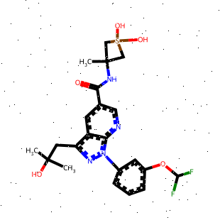 CC(C)(O)Cc1nn(-c2cccc(OC(F)F)c2)c2ncc(C(=O)NC3(C)CS(O)(O)C3)cc12